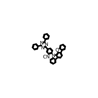 N#Cc1cc(-c2nc(-c3ccccc3)nc(-c3ccccc3)n2)ccc1-n1c2ccccc2c2ccc3c4ccccc4oc3c21